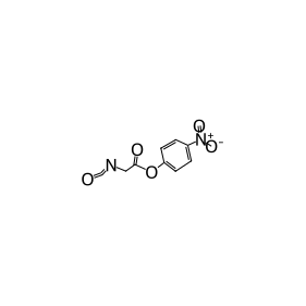 O=C=NCC(=O)Oc1ccc([N+](=O)[O-])cc1